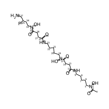 CC(=O)N(O)CCCCCNC(=O)CCC(=O)N(O)CCCCCNC(=O)CCC(=O)N(O)CCC(F)CN